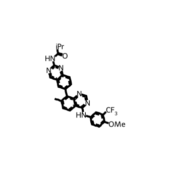 COc1ccc(Nc2ncnc3c(-c4ccc5nc(NC(=O)C(C)C)ncc5c4)c(C)ccc23)cc1C(F)(F)F